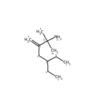 C=C(CC(CC)CC)C(C)(C)N